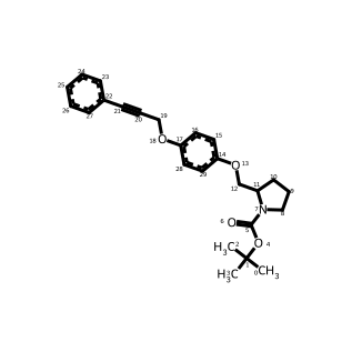 CC(C)(C)OC(=O)N1CCCC1COc1ccc(OCC#Cc2ccccc2)cc1